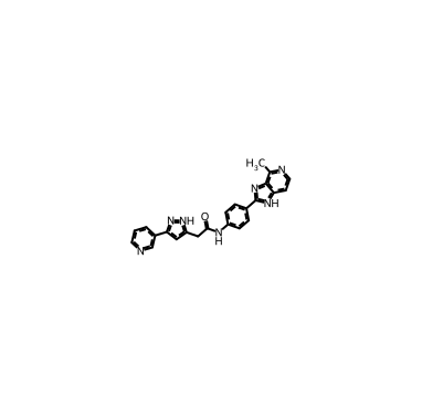 Cc1nccc2[nH]c(-c3ccc(NC(=O)Cc4cc(-c5cccnc5)n[nH]4)cc3)nc12